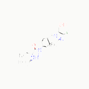 CCCCc1nc(Cl)c(CO)n1Cc1ccc(NC(=O)[C@H](CC#N)NC(=O)O)cc1